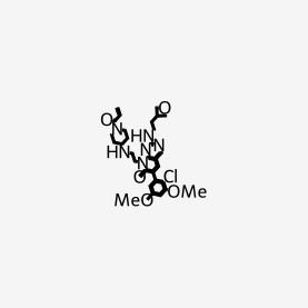 C=CC(=O)N1CCC(NCCn2c(=O)c(-c3cc(OC)cc(OC)c3Cl)cc3cnc(NCCC4COC4)nc32)CC1